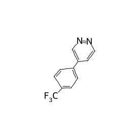 FC(F)(F)c1ccc(-c2ccnnc2)cc1